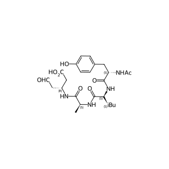 CC[C@H](C)[C@H](NC(=O)[C@H](Cc1ccc(O)cc1)NC(C)=O)C(=O)N[C@@H](C)C(=O)N[C@H](CC=O)CC(=O)O